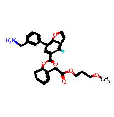 COCCCOC(=O)Cc1ccccc1OC(=O)c1cc(-c2cccc(CN)c2)c2occc2c1F